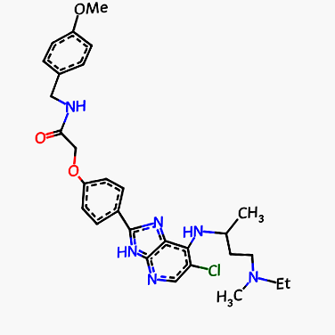 CCN(C)CCC(C)Nc1c(Cl)cnc2[nH]c(-c3ccc(OCC(=O)NCc4ccc(OC)cc4)cc3)nc12